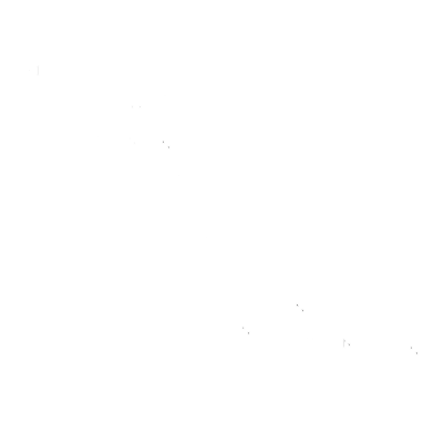 O=C(O)CN(c1ccc2cc(-c3nccc(N4CCNCC4)n3)ccc2c1)S(=O)(=O)c1cc(Cl)cc(Cl)c1